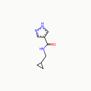 O=C(NCC1CC1)c1cn[nH]c1